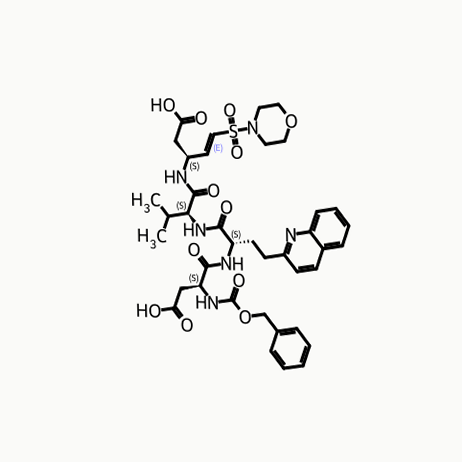 CC(C)[C@H](NC(=O)[C@H](CCc1ccc2ccccc2n1)NC(=O)[C@H](CC(=O)O)NC(=O)OCc1ccccc1)C(=O)N[C@H](/C=C/S(=O)(=O)N1CCOCC1)CC(=O)O